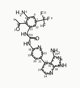 CC(=O)c1c(N)cc(C(F)(F)F)cc1NC(=O)Nc1ccc(-c2ccnc3[nH]nc(N)c23)cn1